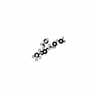 O=C1CCC(N2Cc3ccc(COC(=O)Nc4ccc(Oc5ccc(F)c(F)c5)cc4)c(OCC(=O)N4CCOCC4)c3C2=O)C(=O)N1